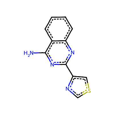 Nc1nc(-c2cscn2)nc2ccccc12